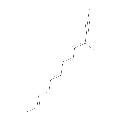 CC#C/C(C)=C(C)/C=C/C=C/C/C=C/C